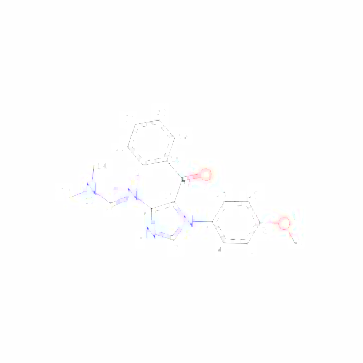 COc1ccc(-n2cnc(/N=C/N(C)C)c2C(=O)c2ccccc2)cc1